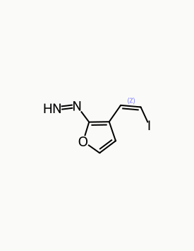 N=Nc1occc1/C=C\I